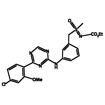 CCOC(=O)N=S(C)(=O)Cc1cccc(Nc2ncnc(-c3ccc(Cl)cc3OC)n2)c1